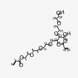 C=CC(=O)OCCOCCOCCOCC(OC(=O)C=C)C(CO)OCCOCCO